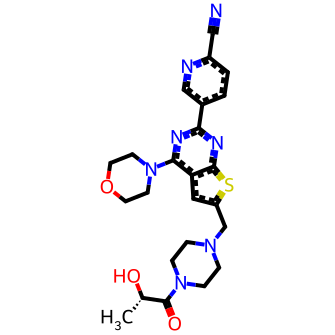 C[C@H](O)C(=O)N1CCN(Cc2cc3c(N4CCOCC4)nc(-c4ccc(C#N)nc4)nc3s2)CC1